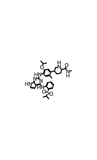 CNC(=O)C1CCC(c2cc(OC(C)C)c(Nc3nc(Nc4ccccc4S(=O)(=O)C(C)C)c4cc[nH]c4n3)cc2C)CN1